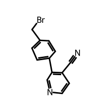 N#Cc1ccncc1-c1ccc(CBr)cc1